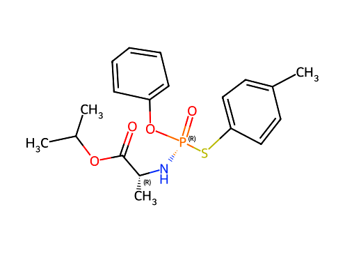 Cc1ccc(S[P@@](=O)(N[C@H](C)C(=O)OC(C)C)Oc2ccccc2)cc1